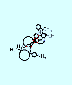 CCCCC1C(C)C2CCCCC2N1c1ccc(C2(C3(CCC(CCC)CCCC4(c5ccc(N)cc5)CCCCCCCCC(CC)CCC4)CCC/C=C\c4cccc5cc6c3cccc6cc45)CCCCCCCCCCCC2)cc1